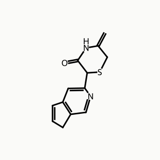 C=C1CSC(c2cc3c(cn2)CC=C3)C(=O)N1